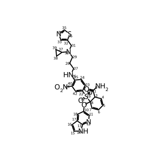 NC(=O)C1C=CC=CC1(Oc1cnc2[nH]ccc2c1)S(=O)(=O)c1ccc(NCCCN(Cc2cncs2)C2CC2)c([N+](=O)[O-])c1